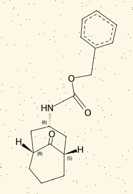 O=C(N[C@H]1C[C@H]2CCC[C@@H](C1)C2=O)OCc1ccccc1